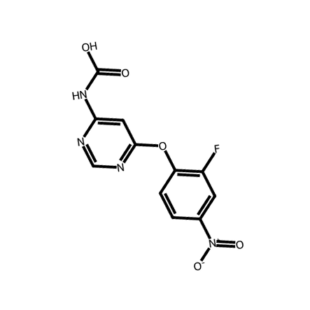 O=C(O)Nc1cc(Oc2ccc([N+](=O)[O-])cc2F)ncn1